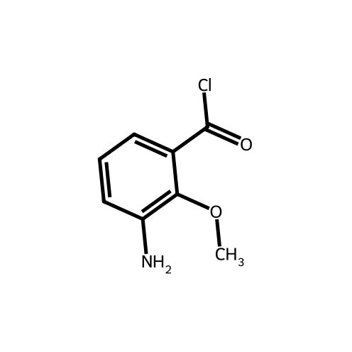 COc1c(N)cccc1C(=O)Cl